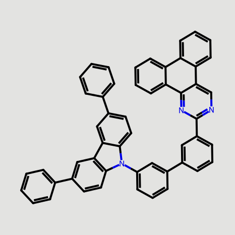 c1ccc(-c2ccc3c(c2)c2cc(-c4ccccc4)ccc2n3-c2cccc(-c3cccc(-c4ncc5c6ccccc6c6ccccc6c5n4)c3)c2)cc1